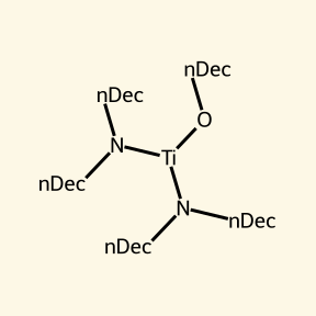 CCCCCCCCCC[O][Ti]([N](CCCCCCCCCC)CCCCCCCCCC)[N](CCCCCCCCCC)CCCCCCCCCC